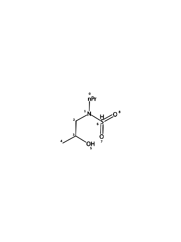 CCCN(CC(C)O)[SH](=O)=O